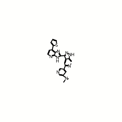 C=c1[nH]nc(-c2nc3c(-c4cccs4)ccnc3[nH]2)/c1=C/C(=N\C)c1cncc(N(C)C)c1